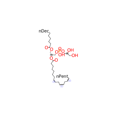 CCCCC/C=C\C/C=C\C/C=C\CCCCCCC(=O)O[C@H](COC(=O)CCCCCCCCCCCCCCC)COP(=O)(O)OC[C@@H](O)CO